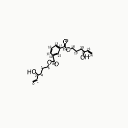 C=CC(O)CCCOC(=O)c1cccc(C(=O)OCCCC(O)C=C)c1